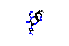 N=Cn1c(=N)c(N2CC(N)C2)nc2ncc(C(F)(F)F)cc21